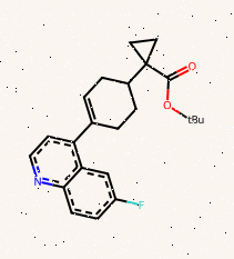 CC(C)(C)OC(=O)C1(C2CC=C(c3ccnc4ccc(F)cc34)CC2)CC1